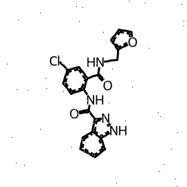 O=C(NCc1ccco1)c1cc(Cl)ccc1NC(=O)c1n[nH]c2ccccc12